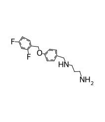 NCCCNCc1ccc(OCc2ccc(F)cc2F)cc1